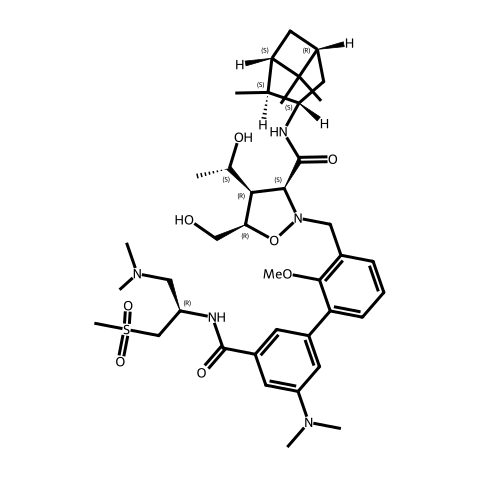 COc1c(CN2O[C@@H](CO)[C@@H]([C@H](C)O)[C@H]2C(=O)N[C@H]2C[C@H]3C[C@@H]([C@@H]2C)C3(C)C)cccc1-c1cc(C(=O)N[C@H](CN(C)C)CS(C)(=O)=O)cc(N(C)C)c1